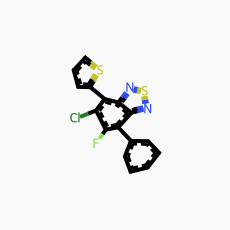 Fc1c(Cl)c(-c2cccs2)c2nsnc2c1-c1ccccc1